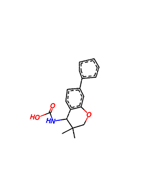 CC1(C)COc2cc(-c3ccccc3)ccc2C1NC(=O)O